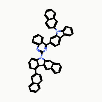 c1ccc2cc(-c3cccc4c3c3cc5ccccc5cc3n4-c3nc(-c4ccc5c6ccccc6n(-c6ccc7ccccc7c6)c5c4)c4ccccc4n3)ccc2c1